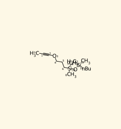 CC#COCCC[Si](C)(C)O[Si](C)(C)CCCC